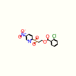 O=C(OCCS(=O)(=O)c1ccc([N+](=O)[O-])cn1)c1ccccc1Cl